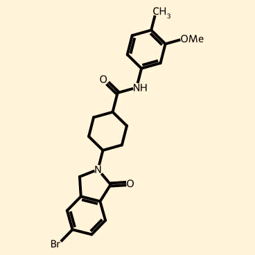 COc1cc(NC(=O)C2CCC(N3Cc4cc(Br)ccc4C3=O)CC2)ccc1C